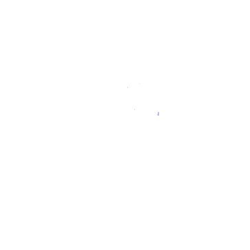 CC(=N)/C=C(/N)NCCCOc1ccccc1